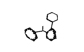 CC(c1ccccc1)c1ccccc1C1CCCCC1